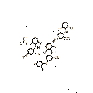 N#Cc1cc(Sc2ccc(F)cc2F)ccc1Nc1c(Cl)cccc1Cl.N#Cc1cc([N+]#N)ccc1Nc1c(Cl)cccc1Cl.N#Cc1cc([N+]#N)ccc1Nc1c(Cl)cccc1Cl.[O-]B([O-])F